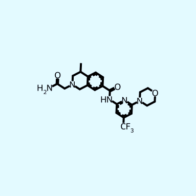 CC1CN(CC(N)=O)Cc2cc(C(=O)Nc3cc(C(F)(F)F)cc(N4CCOCC4)n3)ccc21